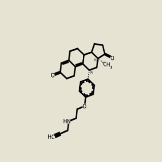 C#CCNCCOc1ccc([C@H]2C[C@]3(C)C(=O)CCC3C3CCC4=CC(=O)CCC4=C32)cc1